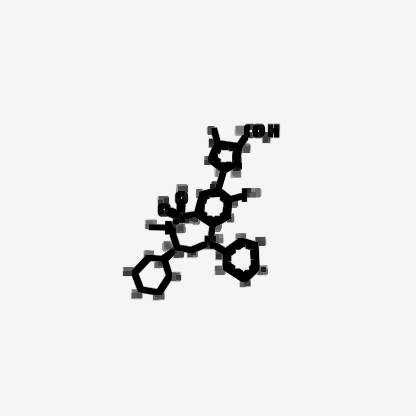 Cc1cc(-c2cc3c(cc2F)N(c2ccccc2)C[C@@H](C2CCCCC2)N(C)S3(=O)=O)sc1C(=O)O